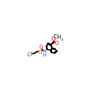 COC(=O)c1ccc(NC(=O)OCCCl)c2ccccc12